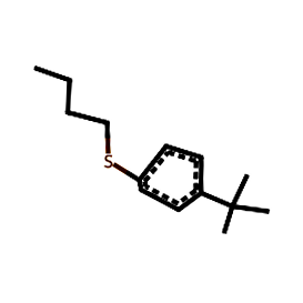 CCCCSc1ccc(C(C)(C)C)cc1